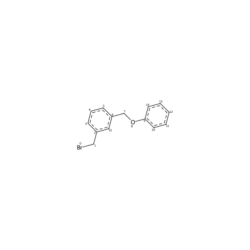 BrCc1cccc(COc2ccccc2)c1